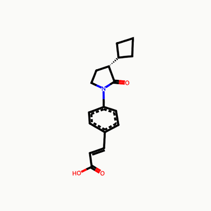 O=C(O)/C=C/c1ccc(N2CC[C@H](C3CCC3)C2=O)cc1